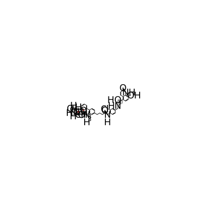 C[N+]1(C)[C@@H]2C[C@@H](OC(=O)Nc3cc(CCCC(=O)Nc4ccc(CNC[C@H](O)c5ccc(O)c6[nH]c(=O)ccc56)cc4Cl)ccc3-c3ccccc3)C[C@H]1[C@@H]1O[C@@H]12